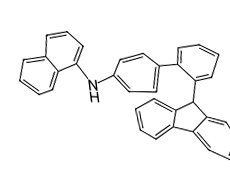 c1ccc(C2c3ccccc3-c3ccccc32)c(-c2ccc(Nc3cccc4ccccc34)cc2)c1